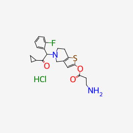 Cl.NCCC(=O)Oc1cc2c(s1)CCN(C(C(=O)C1CC1)c1ccccc1F)C2